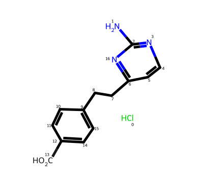 Cl.Nc1nccc(CCc2ccc(C(=O)O)cc2)n1